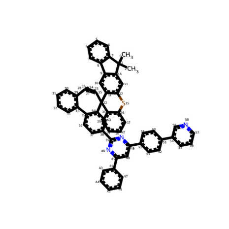 CC1(C)c2ccccc2-c2cc3c(cc21)Sc1ccccc1C31c2ccccc2-c2ccccc2-c2ccc(-c3nc(-c4ccccc4)cc(-c4ccc(-c5cccnc5)cc4)n3)cc21